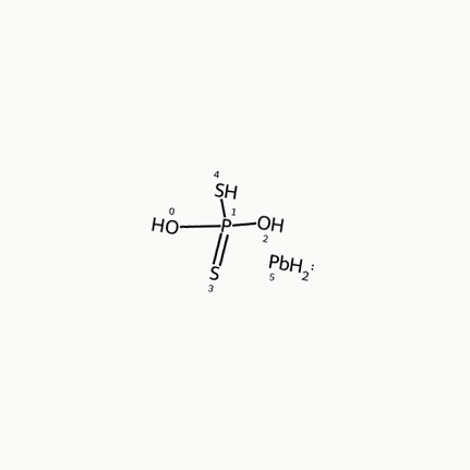 OP(O)(=S)S.[PbH2]